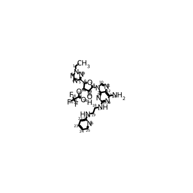 CCn1nnc([C@H]2O[C@@H](n3cnc4c(N)nc(NCCNc5ccccn5)nc43)[C@H](O)[C@@H]2OC(=O)C(F)(F)F)n1